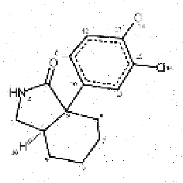 O=C1NC[C@@H]2CCCCC12c1ccc(Cl)c(Cl)c1